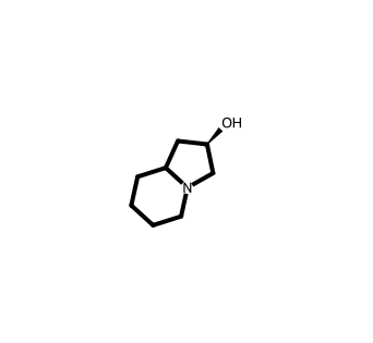 O[C@@H]1CC2CCCCN2C1